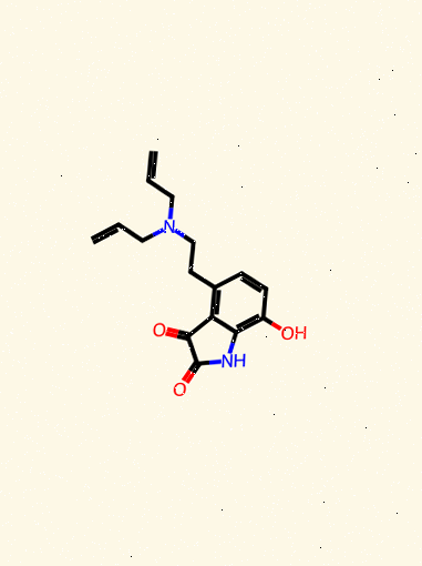 C=CCN(CC=C)CCc1ccc(O)c2c1C(=O)C(=O)N2